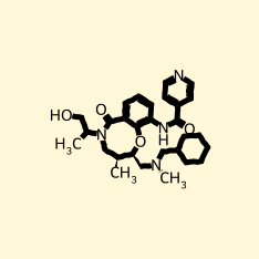 CC(CO)N1C[C@@H](C)[C@H](CN(C)CC2CCCCC2)Oc2c(NC(=O)c3ccncc3)cccc2C1=O